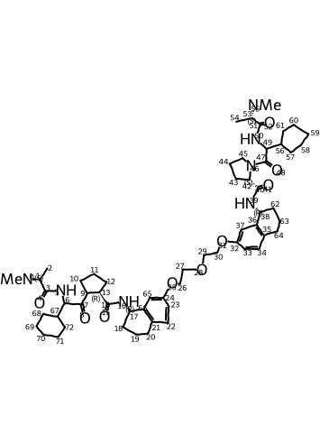 CN[C@@H](C)C(=O)NC(C(=O)C1CCC[C@H]1C(=O)N[C@@H]1CCCc2ccc(OCCOCCOc3ccc4c(c3)[C@H](NC(=O)[C@@H]3CCCN3C(=O)C(NC(=O)[C@H](C)NC)C3CCCCC3)CCC4)cc21)C1CCCCC1